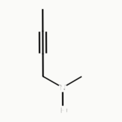 [CH2]C#CCN(C)CC